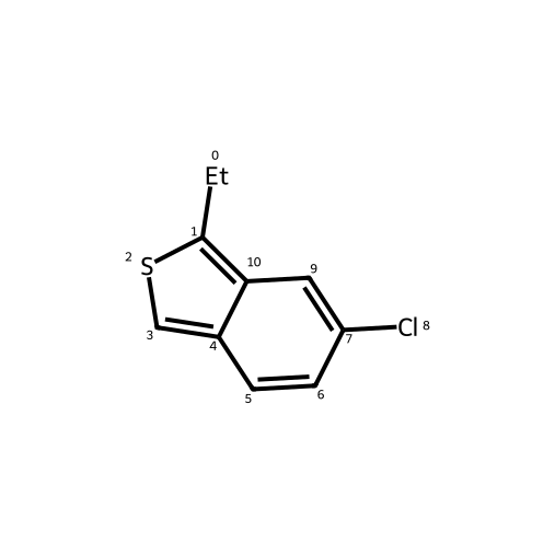 [CH2]Cc1scc2ccc(Cl)cc12